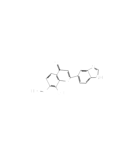 COc1ccc2c(=O)cc(-c3ccc4[nH]cnc4c3)oc2c1O